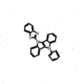 c1ccc(-n2c3ccccc3c3c2c2ccccc2n3-c2nc3ccccc3s2)cc1